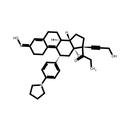 CCC(=O)[C@@]1(C#CCO)CC[C@H]2[C@@H]3CCC4=CC(=NO)CCC4=C3[C@@H](c3ccc(N4CCCC4)cc3)C[C@@]21C